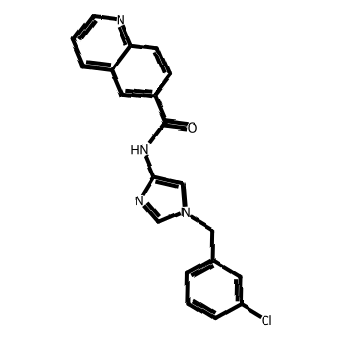 O=C(Nc1cn(Cc2cccc(Cl)c2)cn1)c1ccc2ncccc2c1